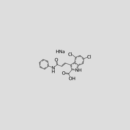 O=C(/C=C/c1c(C(=O)O)[nH]c2cc(Cl)cc(Cl)c12)Nc1ccccc1.[NaH]